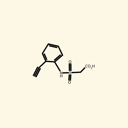 [C]#Cc1ccccc1NS(=O)(=O)CC(=O)O